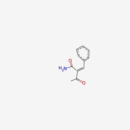 CC(=O)C(=Cc1ccccc1)C(N)=O